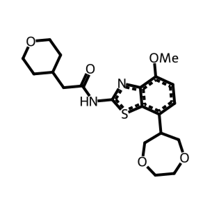 COc1ccc(C2COCCOC2)c2sc(NC(=O)CC3CCOCC3)nc12